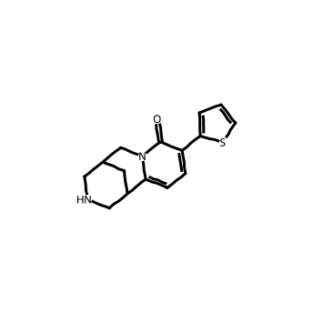 O=c1c(-c2cccs2)ccc2n1CC1CNCC2C1